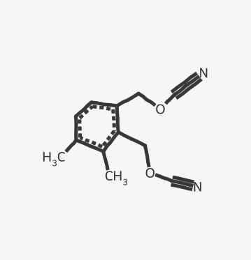 Cc1ccc(COC#N)c(COC#N)c1C